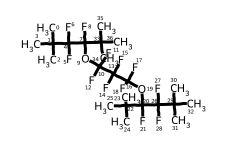 CC(C)(C)C(F)(F)C(F)(OC(F)(F)C(F)(F)C(F)(F)OC(F)(C(C)(C)C)C(F)(F)C(C)(C)C)C(C)(C)C